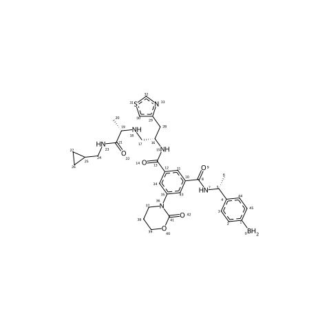 Bc1ccc([C@@H](C)NC(=O)c2cc(C(=O)N[C@H](CN[C@@H](C)C(=O)NCC3CC3)Cc3cscn3)cc(N3CCCOC3=O)c2)cc1